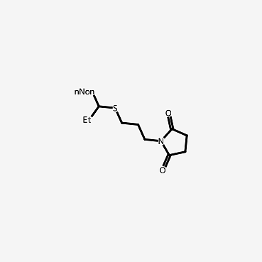 CCCCCCCCCC(CC)SCCCN1C(=O)CCC1=O